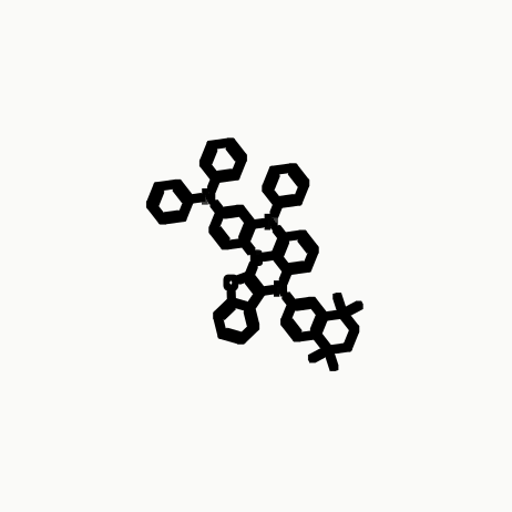 CC1(C)CCC(C)(C)c2cc(N3c4cccc5c4B(c4ccc(N(c6ccccc6)c6ccccc6)cc4N5c4ccccc4)c4oc5ccccc5c43)ccc21